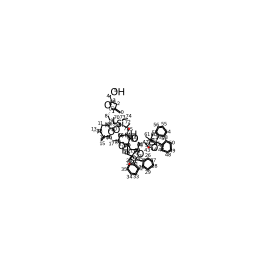 C=C1C[C@H](CO)O[C@H]1CC[C@H]1C[C@@H](C)C(=C)[C@@H](C[C@@H]2O[C@H]3C[C@@H](O[Si](c4ccccc4)(c4ccccc4)C(C)(C)C)[C@@H](CCO[Si](c4ccccc4)(c4ccccc4)C(C)(C)C)O[C@H]3[C@H](C)[C@H]2O[Si](CC)(CC)CC)O1